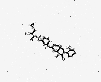 Cn1c(=O)c(-c2ccccc2Cl)cc2cnc(Nc3cccc(CNC(=O)C(C#N)=CC4CC4)c3)nc21